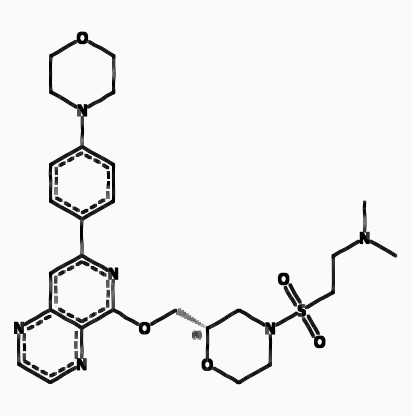 CN(C)CCS(=O)(=O)N1CCO[C@H](COc2nc(-c3ccc(N4CCOCC4)cc3)cc3nccnc23)C1